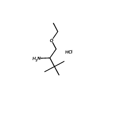 CCOCC(N)C(C)(C)C.Cl